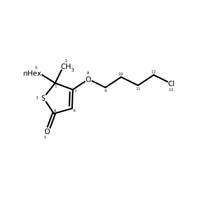 CCCCCCC1(C)SC(=O)C=C1OCCCCCl